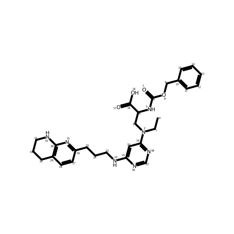 CCN(CC(NC(=O)OCc1ccccc1)C(=O)O)c1cc(NCCCc2ccc3c(n2)NCCC3)ncn1